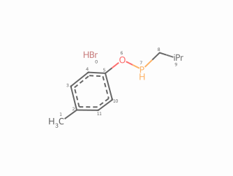 Br.Cc1ccc(OPCC(C)C)cc1